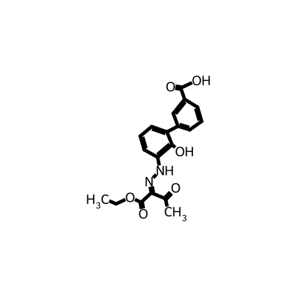 CCOC(=O)/C(=N/Nc1cccc(-c2cccc(C(=O)O)c2)c1O)C(C)=O